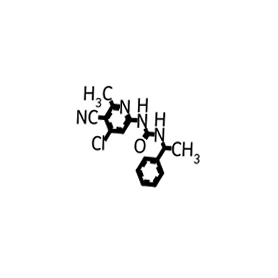 Cc1nc(NC(=O)NC(C)c2ccccc2)cc(Cl)c1C#N